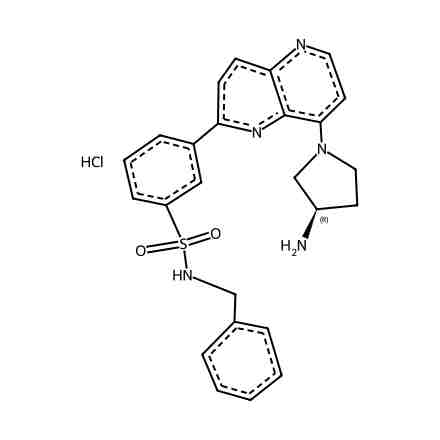 Cl.N[C@@H]1CCN(c2ccnc3ccc(-c4cccc(S(=O)(=O)NCc5ccccc5)c4)nc23)C1